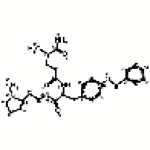 CC(C[CH]C(=O)NC(Cc1ccc(OCc2ccccc2)cc1)C(=O)NCCC1CCCN1C)C(N)=O